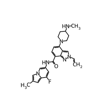 C=Cn1cc2c(N3CCC(NC)CC3)ccc(C(=O)Nc3cc(F)c4cc(C)cn4c3)c2n1